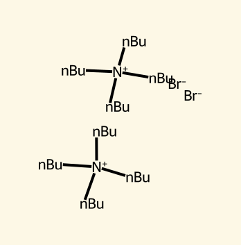 CCCC[N+](CCCC)(CCCC)CCCC.CCCC[N+](CCCC)(CCCC)CCCC.[Br-].[Br-]